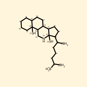 BC(B)CCCC(B)C1CCC2C3CCC4CCCCC4(S)C3CNC12S